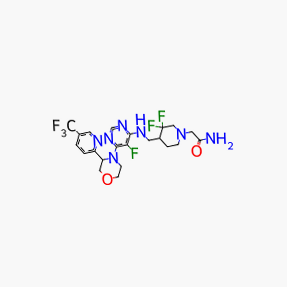 NC(=O)CN1CCC(CNc2ncnc(N3CCOCC3c3ccc(C(F)(F)F)cn3)c2F)C(F)(F)C1